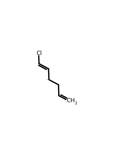 C=CC[CH]C=CCl